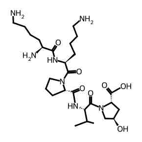 CC(C)[C@H](NC(=O)[C@@H]1CCCN1C(=O)[C@H](CCCCN)NC(=O)[C@@H](N)CCCCN)C(=O)N1C[C@H](O)C[C@H]1C(=O)O